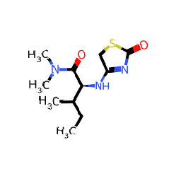 CCC(C)[C@H](NC1=NC(=O)SC1)C(=O)N(C)C